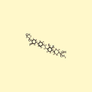 C=CCOc1ccc(-c2c#cc(CCc3ccc(C4=CCC(C(C)O)CC4)c(F)c3F)cc2)cc1F